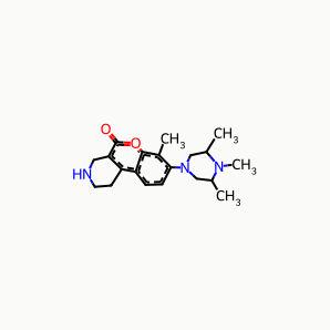 Cc1c(N2CC(C)N(C)C(C)C2)ccc2c3c(c(=O)oc12)CNCC3